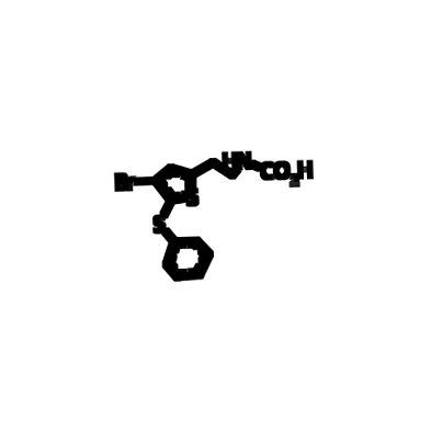 O=C(O)NCCc1cc(Br)c(Sc2ccccc2)s1